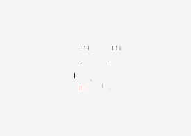 CC1C(C(C)(C)C)C(C(C)(C)C)CC[C@@H]1C(C)(C)O